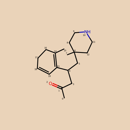 CC(=O)CC(CC1(C)CCNCC1)C1=C(C)CCC=C1